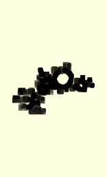 CCOC(C(OC)C(C)C)C(OC)C(OC)O[C@H]1C[C@H]2[C@@H]3C=C4C(=O)[C@H](C)[C@@H](O[C@H]5CC[C@H](N(C)C)C(C)O5)CCC[C@H](CC)OC(=O)C[C@H]4[C@@H]3c3nc(C)sc3[C@@H]2C1